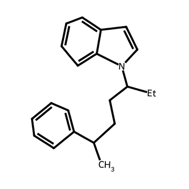 CCC(CCC(C)c1ccccc1)n1ccc2ccccc21